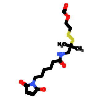 CC(C)(CNC(=O)CCCCCN1C(=O)C=CC1=O)SSCCOC=O